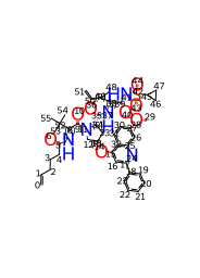 C=CCCCC(=O)N[C@@H](C(=O)N1C[C@H](Oc2cc(-c3ccccc3)nc3cc(OC)ccc23)C[C@H]1C(=O)N[C@@]1(C(=O)NS(=O)(=O)C2CC2)C[C@@H]1C=C)C(C)(C)C